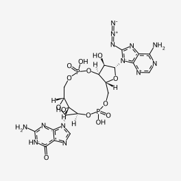 [N-]=[N+]=Nc1nc2c(N)ncnc2n1[C@@H]1O[C@@H]2COP(=O)(O)O[C@@H]3[C@H](O)[C@@H](COP(=O)(O)O[C@H]2[C@H]1O)O[C@H]3n1cnc2c(=O)[nH]c(N)nc21